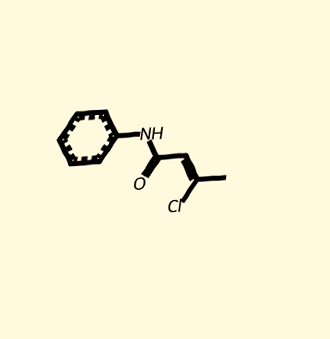 CC(Cl)=CC(=O)Nc1ccccc1